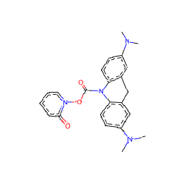 CN(C)c1ccc2c(c1)Cc1cc(N(C)C)ccc1N2C(=O)On1ccccc1=O